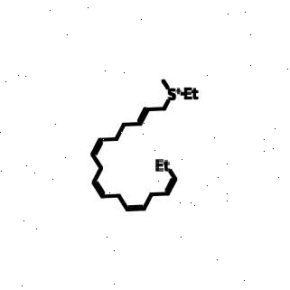 CC/C=C\C/C=C\C/C=C\C/C=C\CC/C=C/C[S+](C)CC